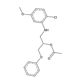 COc1ccc(Cl)c(NCC(COc2ccccc2)OC(C)=O)c1